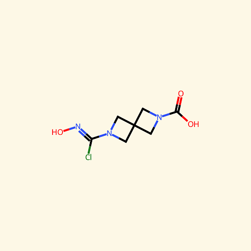 O=C(O)N1CC2(C1)CN(C(Cl)=NO)C2